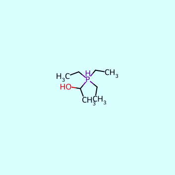 CC[PH](CC)(CC)C(C)O